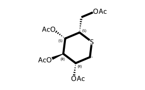 CC(=O)OC[C@@H]1S[CH][C@H](OC(C)=O)[C@@H](OC(C)=O)[C@@H]1OC(C)=O